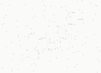 C=C/C=C(\C=C/C)c1ccc(-c2nnc(-c3ccc(C(C)(C)C)cc3)n2/C(C)=C/C=C\C)cc1